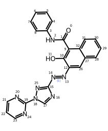 O=C(Nc1ccccc1)c1c(O)c(/N=N/c2ncn(-c3ncccn3)n2)cc2ccccc12